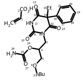 C=CC(=O)O.CCCCOCC(CN1C(=O)NC(=O)C(CC)(c2ccccc2)C1=O)OC(N)=O